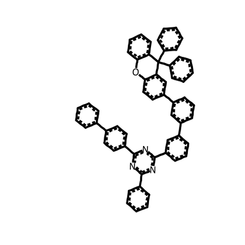 c1ccc(-c2ccc(-c3nc(-c4ccccc4)nc(-c4cccc(-c5cccc(-c6ccc7c(c6)C(c6ccccc6)(c6ccccc6)c6ccccc6O7)c5)c4)n3)cc2)cc1